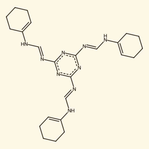 C(=Nc1nc(N=CNC2=CCCCC2)nc(N=CNC2=CCCCC2)n1)NC1=CCCCC1